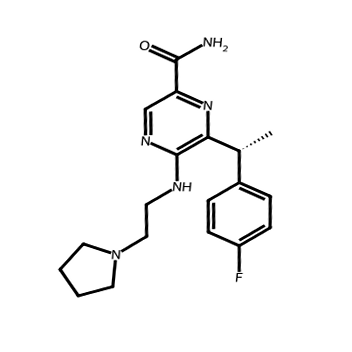 C[C@H](c1ccc(F)cc1)c1nc(C(N)=O)cnc1NCCN1CCCC1